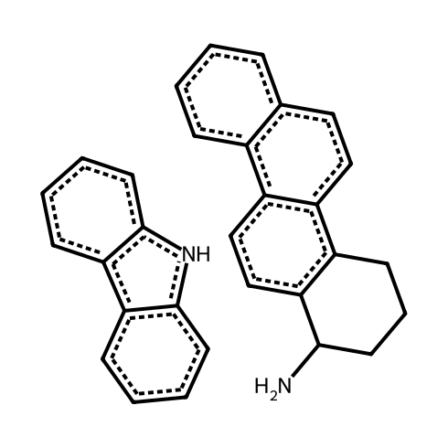 NC1CCCc2c1ccc1c2ccc2ccccc21.c1ccc2c(c1)[nH]c1ccccc12